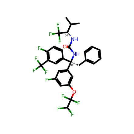 CC(C)[C@H](NC(=O)N[C@@](Cc1ccccc1)(c1cc(F)cc(OC(F)(F)C(F)F)c1)c1ccc(F)c(C(F)(F)F)c1)C(F)(F)F